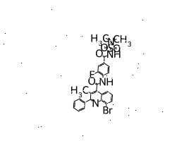 Cc1c(-c2ccccc2)nc2c(Br)cccc2c1C(=O)Nc1ccc(C(=O)NS(=O)(=O)N(C)C)cc1F